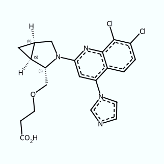 O=C(O)CCOC[C@@H]1[C@H]2C[C@H]2CN1c1cc(-n2ccnc2)c2ccc(Cl)c(Cl)c2n1